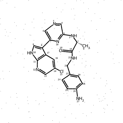 C[C@@H](Nc1cncc(-c2c[nH]c3ncc(Cl)cc23)n1)C(=O)NCc1ccc(N)cc1